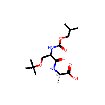 CC(C)COC(=O)NC(COC(C)(C)C)C(=O)N[C@@H](C)C(=O)O